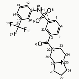 O=C(c1cccc(S(=O)(=O)Nc2cccc(C(F)(F)F)c2)c1)N1CCN2CCCC2C1